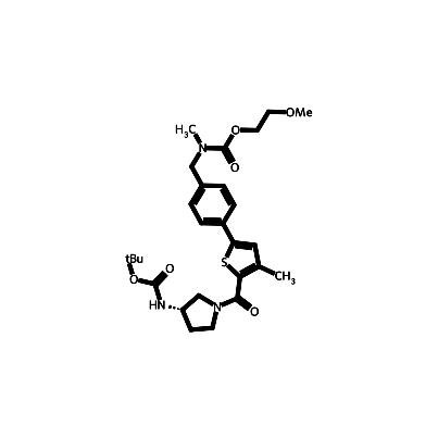 COCCOC(=O)N(C)Cc1ccc(-c2cc(C)c(C(=O)N3CC[C@H](NC(=O)OC(C)(C)C)C3)s2)cc1